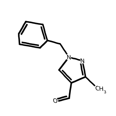 Cc1nn(Cc2ccccc2)cc1C=O